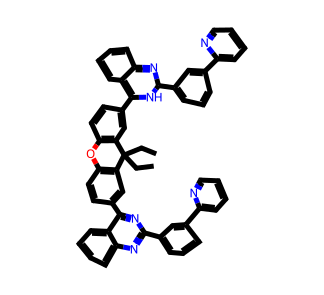 CCC1(CC)c2cc(C3=c4ccccc4=NC(c4cccc(-c5ccccn5)c4)N3)ccc2Oc2ccc(-c3nc(-c4cccc(-c5ccccn5)c4)nc4ccccc34)cc21